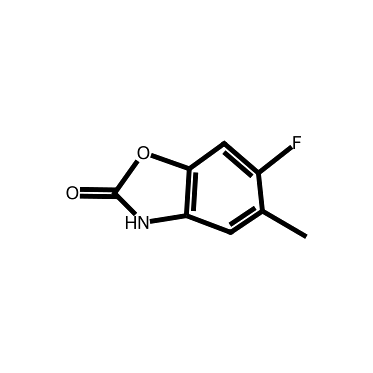 Cc1cc2[nH]c(=O)oc2cc1F